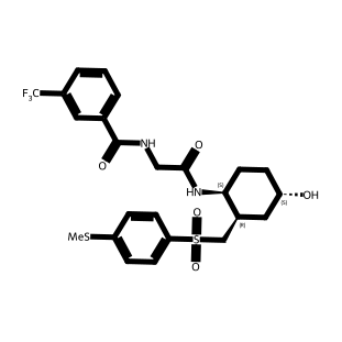 CSc1ccc(S(=O)(=O)C[C@@H]2C[C@@H](O)CC[C@@H]2NC(=O)CNC(=O)c2cccc(C(F)(F)F)c2)cc1